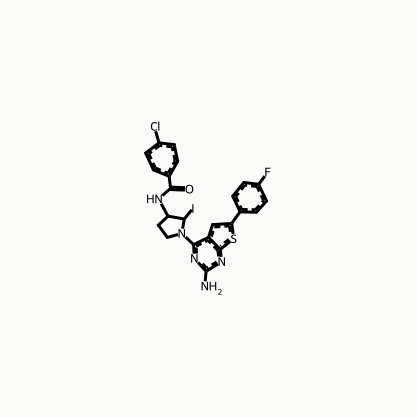 Nc1nc(N2CCC(NC(=O)c3ccc(Cl)cc3)C2I)c2cc(-c3ccc(F)cc3)sc2n1